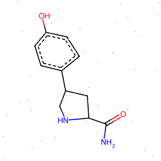 NC(=O)C1CC(c2ccc(O)cc2)CN1